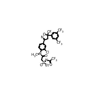 CCS(=O)(CC(=O)N(C)c1ccc(C2=NOC(c3cc(C(F)(F)F)cc(C(F)(F)F)c3)(C(F)(F)F)C2)cc1Cl)=NC(=O)C(F)(F)F